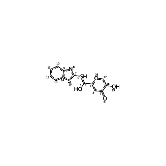 O=c1cc(C(O)=[SH]c2nc3ccccc3s2)occ1O